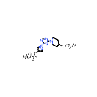 O=C(O)C1CCN(c2ncnc(N3CC(C(=O)O)C3)n2)CC1